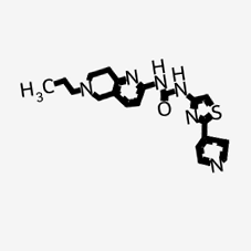 CCCN1CCc2nc(NC(=O)Nc3csc(-c4ccncc4)n3)ccc2C1